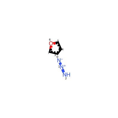 [N-]=[N+]=N.c1ccoc1